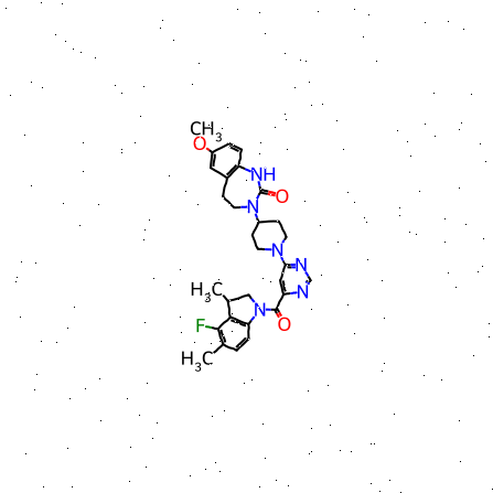 COc1ccc2c(c1)CCN(C1CCN(c3cc(C(=O)N4CC(C)c5c4ccc(C)c5F)ncn3)CC1)C(=O)N2